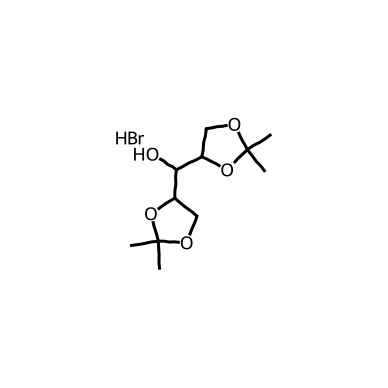 Br.CC1(C)OCC(C(O)C2COC(C)(C)O2)O1